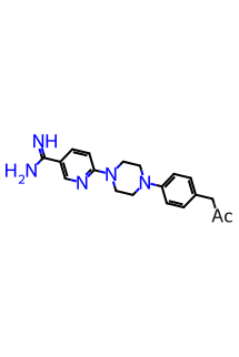 CC(=O)Cc1ccc(N2CCN(c3ccc(C(=N)N)cn3)CC2)cc1